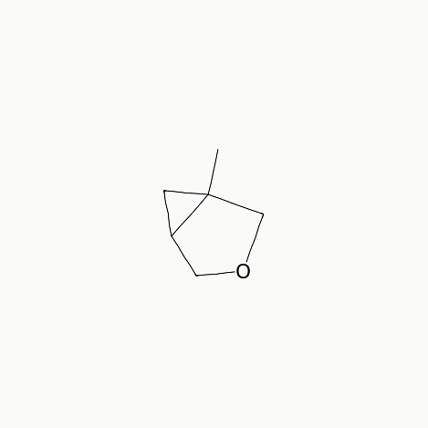 CC12COCC1C2